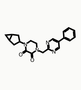 O=C1C(=O)N(C2CC3CC3C2)CCN1Cc1ncc(-c2ccccc2)cn1